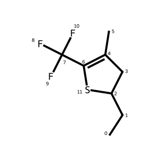 CCC1CC(C)=C(C(F)(F)F)S1